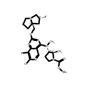 C[C@@H]1[C@@H](N(C)c2nc(OC[C@@]34CCCN3C[C@H](F)C4)nc3c(F)c(Cl)ncc23)CCN1C(=O)OC(C)(C)C